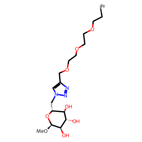 CO[C@H]1O[C@H](Cn2cc(COCCOCCOCCC(C)C)nn2)[C@@H](O)[C@H](O)[C@H]1O